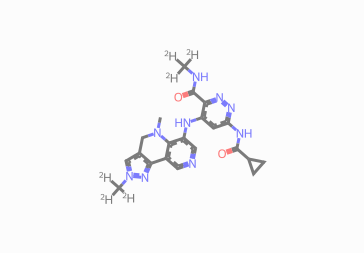 [2H]C([2H])([2H])NC(=O)c1nnc(NC(=O)C2CC2)cc1Nc1cncc2c1N(C)Cc1cn(C([2H])([2H])[2H])nc1-2